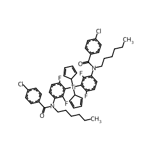 CCCCCCN(C(=O)c1ccc(Cl)cc1)c1ccc(F)[c]([Ti]([c]2c(F)ccc(N(CCCCCC)C(=O)c3ccc(Cl)cc3)c2F)([CH]2C=CC=C2)[CH]2C=CC=C2)c1F